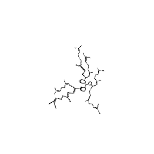 CC(C)=CCC/C(C)=C\C(C/C=C(\C)CCC=C(C)C)OC(OC(/C=C(/C)CCC=C(C)C)C/C=C(\C)CCC=C(C)C)OC(/C=C(/C)CCC=C(C)C)C/C=C(\C)CCC=C(C)C